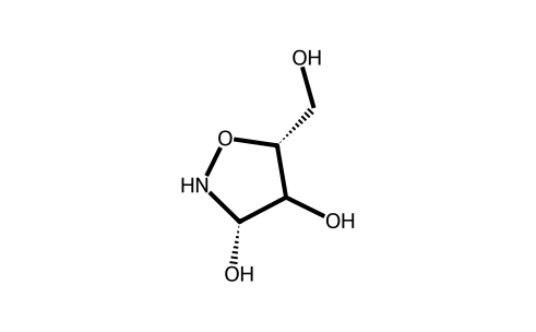 OC[C@H]1ON[C@@H](O)C1O